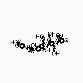 COc1ccc(/N=N/c2cc(OCCO)c(/N=N/c3c(SOOO)cc4cc(-n5nc(C)c(/N=N/c6ccc(S(=O)(=O)O)cc6)c5O)ccc4c3O)cc2OCCO)c(S(=O)(=O)O)c1